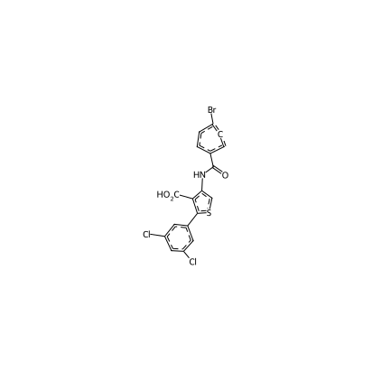 O=C(Nc1csc(-c2cc(Cl)cc(Cl)c2)c1C(=O)O)c1ccc(Br)cc1